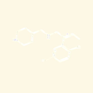 C/C=C(/CNCC1CCNCC1)c1cc(Cl)ccc1CC